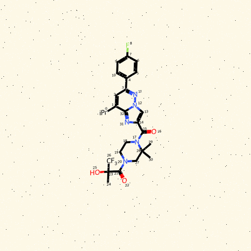 CC(C)c1cc(-c2ccc(F)cc2)nn2cc(C(=O)N3CCN(C(=O)C(C)(O)C(F)(F)F)CC3(C)C)nc12